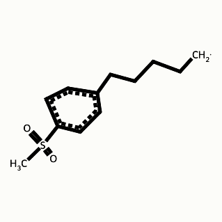 [CH2]CCCCc1ccc(S(C)(=O)=O)cc1